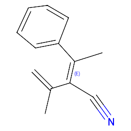 C=C(C)/C(C#N)=C(/C)c1ccccc1